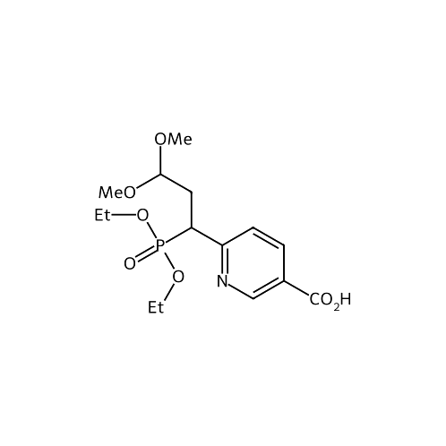 CCOP(=O)(OCC)C(CC(OC)OC)c1ccc(C(=O)O)cn1